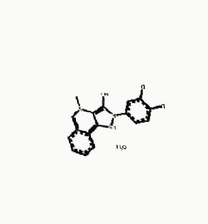 CN1C=c2ccccc2=C2NN(c3ccc(Cl)c(Cl)c3)C(O)=C21.O